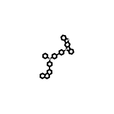 c1ccc(N(c2ccc(-c3ccc(-n4c5ccccc5c5cc6sc7ccccc7c6cc54)cc3)cc2)c2ccc(-c3ccc4ccc5ccccc5c4c3)cc2)cc1